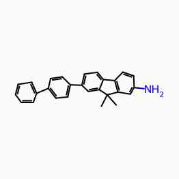 CC1(C)c2cc(N)ccc2-c2ccc(-c3ccc(-c4ccccc4)cc3)cc21